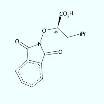 CC(C)C[C@@H](ON1C(=O)c2ccccc2C1=O)C(=O)O